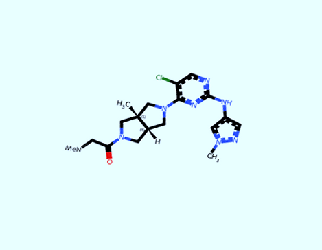 CNCC(=O)N1C[C@H]2CN(c3nc(Nc4cnn(C)c4)ncc3Cl)C[C@@]2(C)C1